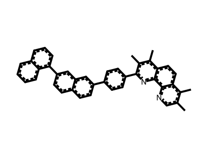 Cc1cnc2c(ccc3c(C)c(C)c(-c4ccc(-c5ccc6ccc(-c7cccc8ccccc78)cc6c5)cc4)nc32)c1C